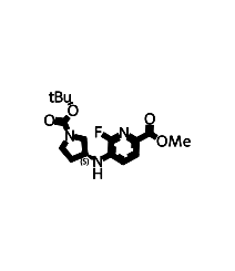 COC(=O)c1ccc(N[C@H]2CCN(C(=O)OC(C)(C)C)C2)c(F)n1